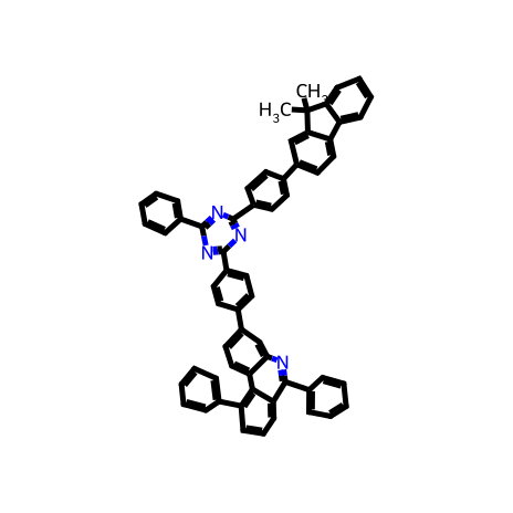 CC1(C)c2ccccc2-c2ccc(-c3ccc(-c4nc(-c5ccccc5)nc(-c5ccc(-c6ccc7c(c6)nc(-c6ccccc6)c6cccc(-c8ccccc8)c67)cc5)n4)cc3)cc21